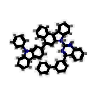 c1ccc(-c2cccc(-c3nc(-n4c5ccccc5c5c6ccccc6c(-c6ccc7c8ccccc8n(-c8ccccc8)c7c6)cc54)nc4ccccc34)c2)cc1